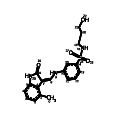 Cc1cccc2c1C(=CNc1cccc(S(=O)(=O)NCCCO)c1)C(=O)N2